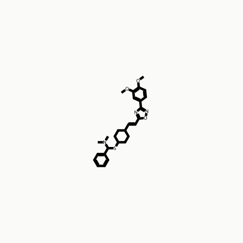 COc1ccc(-c2noc(C=CC3CCC(SC(c4ccccc4)N(C)C)CC3)n2)cc1OC